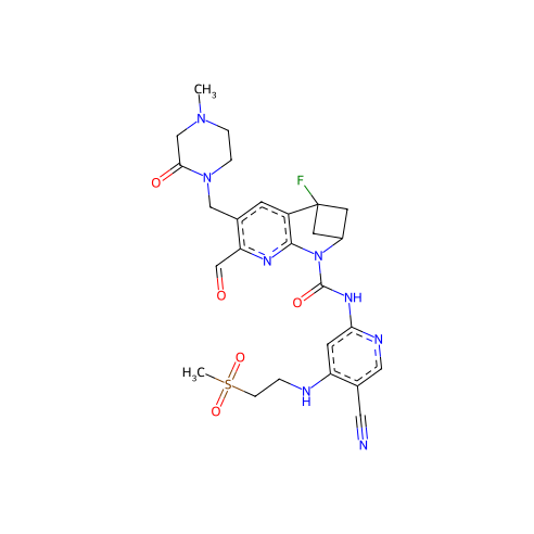 CN1CCN(Cc2cc3c(nc2C=O)N(C(=O)Nc2cc(NCCS(C)(=O)=O)c(C#N)cn2)C2CC3(F)C2)C(=O)C1